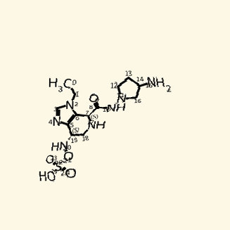 CCn1cnc2c1[C@@H](C(=O)NN1CCC(N)C1)NC[C@@H]2NOS(=O)(=O)O